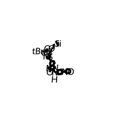 Cn1c(=O)c(Nc2ccc(N3CCOCC3)cc2)nc2ccc(-c3cnc(N(COCC[Si](C)(C)C)C(=O)OC(C)(C)C)s3)cc21